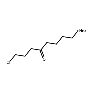 CCCCCCCCCCC(=O)CCCCl